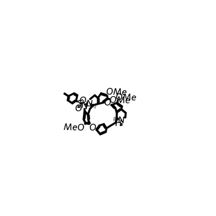 COc1cc2c3cc1Oc1ccc(cc1)C[C@@H]1c4cc(c(OC)cc4CCN1C)Oc1c(OC)c(OC)cc4c1[C@@H](C3)N(CC4)N2S(=O)(=O)c1ccc(C)cc1